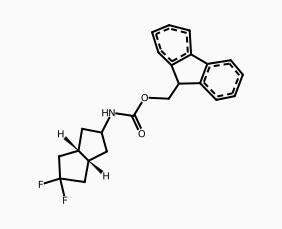 O=C(NC1C[C@@H]2CC(F)(F)C[C@@H]2C1)OCC1c2ccccc2-c2ccccc21